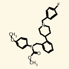 COC(=O)N(Cc1ccccc1C1CCN(Cc2ccc(F)cc2)CC1)c1ccc(OC)cc1